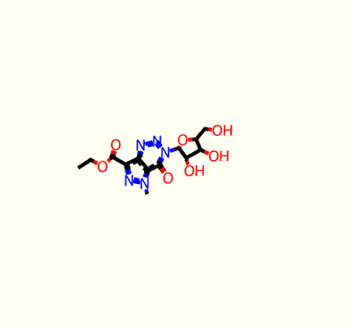 CCOC(=O)c1nn(C)c2c(=O)n(C3OC(CO)C(O)C3O)nnc12